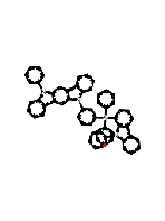 c1ccc(-n2c3ccccc3c3cc4c(cc32)c2ccccc2n4-c2cccc([Si](c3ccccc3)(c3ccccc3)c3cccc4c5ccccc5n(-c5ccccc5)c34)c2)cc1